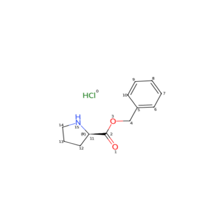 Cl.O=C(OCc1ccccc1)[C@H]1CCCN1